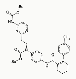 Cc1ccc(C2=C(C(=O)Nc3ccc(N(CCc4cccc(NC(=O)OC(C)(C)C)n4)C(=O)OC(C)(C)C)cc3)CCCC2)cc1